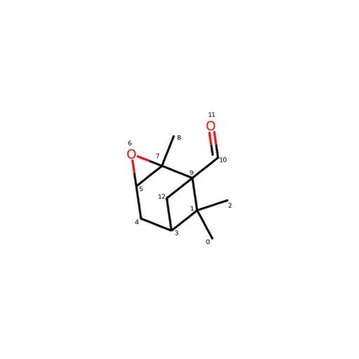 CC1(C)C2CC3OC3(C)C1(C=O)C2